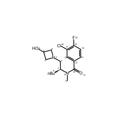 CCCC[C@@H](CN1CC(O)C1)N(C)C(=O)c1ccc(F)c(Cl)c1